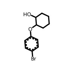 OC1CCCCC1Oc1ccc(Br)cc1